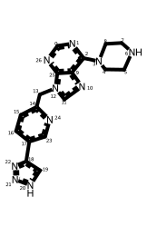 c1nc(N2CCNCC2)c2ncn(Cc3ccc(-c4c[nH]nn4)cn3)c2n1